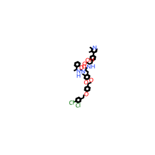 Cc1nccc(-c2ccc(CC(NC(=O)C3Cc4cc5c(cc4CN3C(=O)NC(C)c3ccccc3)OC(c3ccc(OCCc4ccc(Cl)c(Cl)c4)cc3)CO5)C(=O)O)cc2)c1C